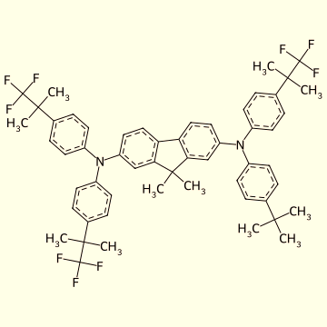 CC(C)(C)c1ccc(N(c2ccc(C(C)(C)C(F)(F)F)cc2)c2ccc3c(c2)C(C)(C)c2cc(N(c4ccc(C(C)(C)C(F)(F)F)cc4)c4ccc(C(C)(C)C(F)(F)F)cc4)ccc2-3)cc1